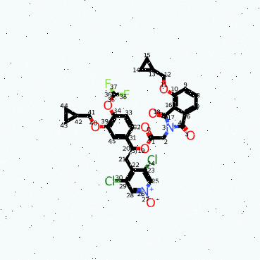 O=C(CN1C(=O)c2cccc(OCC3CC3)c2C1=O)O[C@@H](Cc1c(Cl)c[n+]([O-])cc1Cl)c1ccc(OC(F)F)c(OCC2CC2)c1